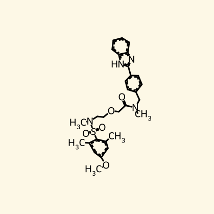 COc1cc(C)c(S(=O)(=O)N(C)CCOCC(=O)N(C)Cc2ccc(-c3nc4ccccc4[nH]3)cc2)c(C)c1